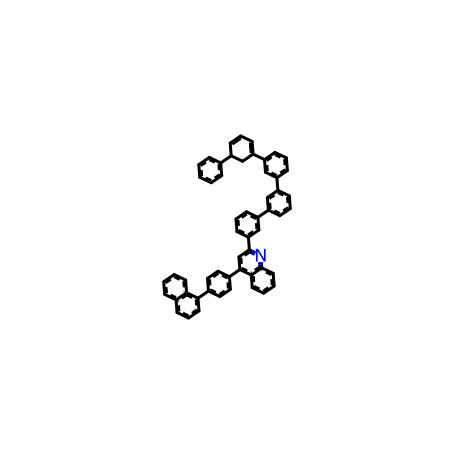 C1=CC(c2ccccc2)CC(c2cccc(-c3cccc(-c4cccc(-c5cc(-c6ccc(-c7cccc8ccccc78)cc6)c6ccccc6n5)c4)c3)c2)=C1